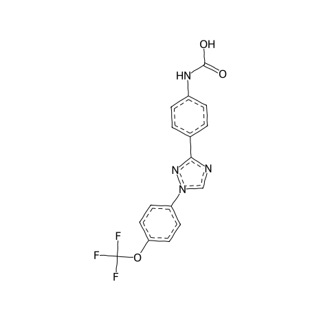 O=C(O)Nc1ccc(-c2ncn(-c3ccc(OC(F)(F)F)cc3)n2)cc1